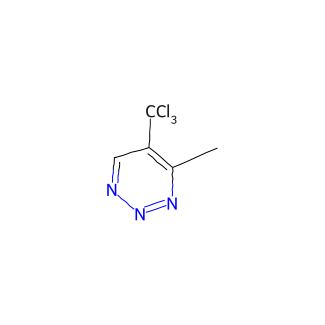 Cc1nnncc1C(Cl)(Cl)Cl